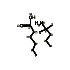 CCCC(C)(C)N.CCCCCC(=O)O